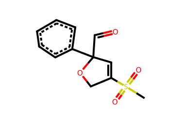 CS(=O)(=O)C1=CC(C=O)(c2ccccc2)OC1